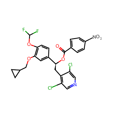 O=C(O[C@@H](Cc1c(Cl)cncc1Cl)c1ccc(OC(F)F)c(OCC2CC2)c1)c1ccc([N+](=O)[O-])cc1